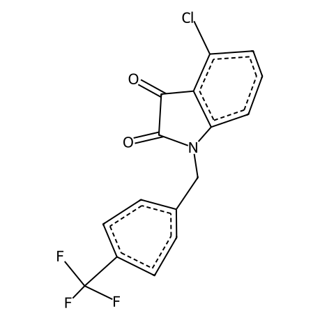 O=C1C(=O)N(Cc2ccc(C(F)(F)F)cc2)c2cccc(Cl)c21